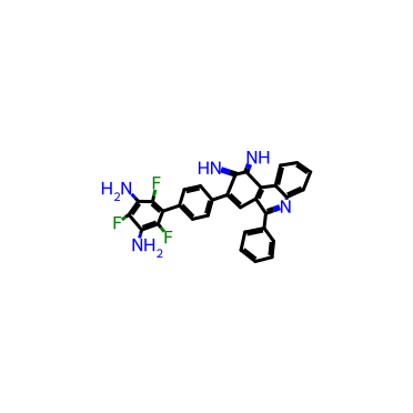 N=C1C(=N)c2c(c(-c3ccccc3)nc3ccccc23)C=C1c1ccc(-c2c(F)c(N)c(F)c(N)c2F)cc1